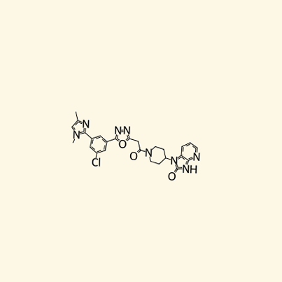 Cc1cn(C)c(-c2cc(Cl)cc(-c3nnc(CC(=O)N4CCC(n5c(=O)[nH]c6ncccc65)CC4)o3)c2)n1